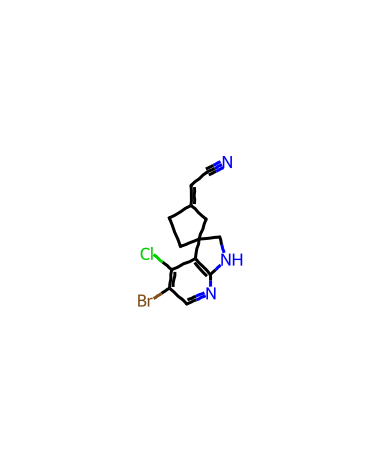 N#CC=C1CCC2(CNc3ncc(Br)c(Cl)c32)C1